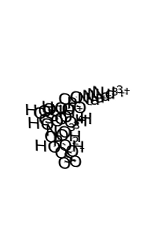 O=C([O-])[O-].O=P(O)(O)O.O=P([O-])([O-])[O-].O=S(=O)(O)O.O=S(=O)([O-])O.O=S(=O)([O-])[O-].O=[N+]([O-])O.[NH4+].[Na+].[Na+].[Nd+3].[Nd+3].[OH-]